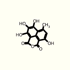 Cc1cc(O)c2c3c(c(O)c(O)c(O)c13)C(=O)OC2=O